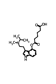 CC(C)N(C)CCc1c[nH]c2cccc(OC(=O)CCCCC(=O)O)c12